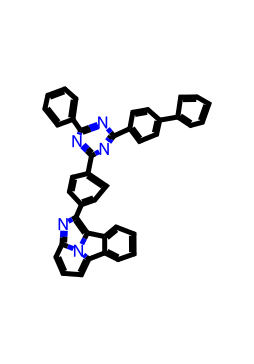 c1ccc(-c2ccc(-c3nc(-c4ccccc4)nc(-c4ccc(-c5nc6cccc7c8ccccc8c5n67)cc4)n3)cc2)cc1